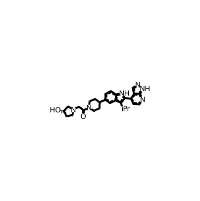 CC(C)c1c(-c2ccnc3[nH]ncc23)[nH]c2ccc(C3CCN(C(=O)CN4CC[C@H](O)C4)CC3)cc12